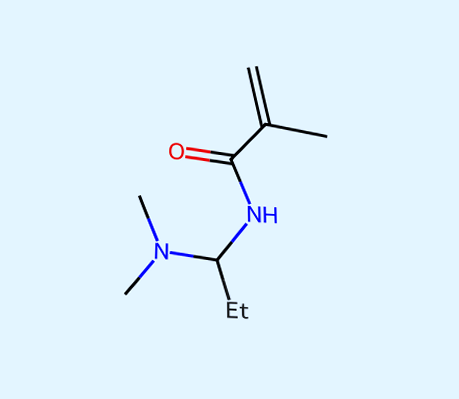 [CH2]CC(NC(=O)C(=C)C)N(C)C